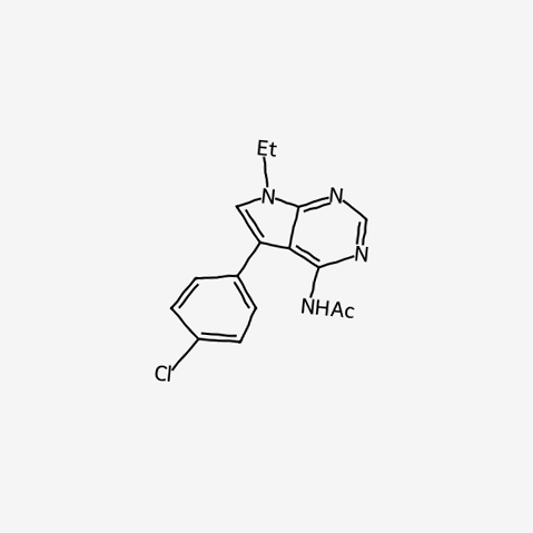 CCn1cc(-c2ccc(Cl)cc2)c2c(NC(C)=O)ncnc21